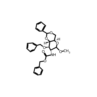 COC1O[C@@H]2COC(c3ccccc3)O[C@H]2[C@H](OCc2ccccc2)[C@H]1NC(=O)OCc1ccccc1